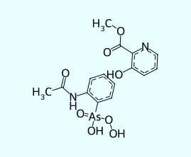 CC(=O)Nc1ccccc1[As](=O)(O)OO.COC(=O)c1ncccc1O